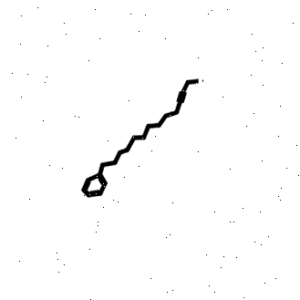 [CH2]CC#CCCCCCCCCCCc1ccccc1